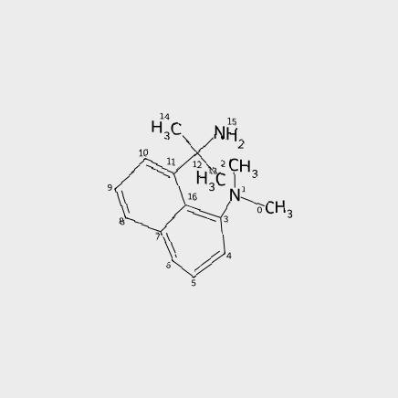 CN(C)c1cccc2cccc(C(C)(C)N)c12